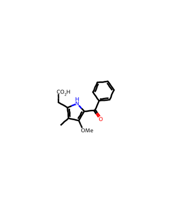 COc1c(C(=O)c2ccccc2)[nH]c(CC(=O)O)c1C